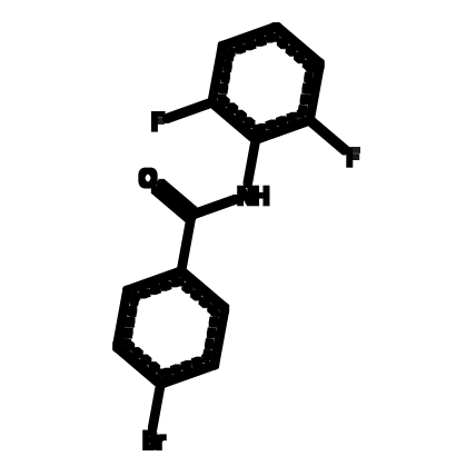 O=C(Nc1c(F)cccc1F)c1ccc(Br)cc1